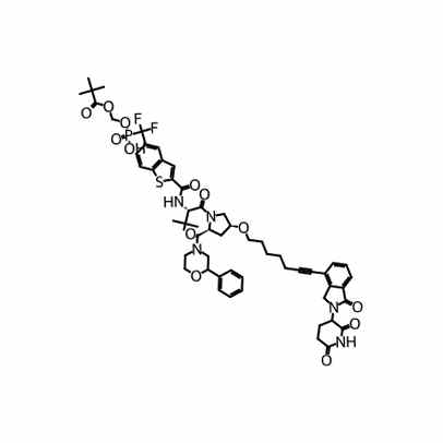 CC(C)(C)C(=O)OCOP(=O)(O)C(F)(F)c1ccc2sc(C(=O)N[C@H](C(=O)N3C[C@@H](OCCCCCC#Cc4cccc5c4CN(C4CCC(=O)NC4=O)C5=O)C[C@H]3C(=O)N3CCOC(c4ccccc4)C3)C(C)(C)C)cc2c1